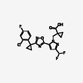 O=C(O)C1(Cn2nc(C(F)F)cc2-c2nc(C3(c4ccc(F)cc4Cl)CC3)no2)CC1